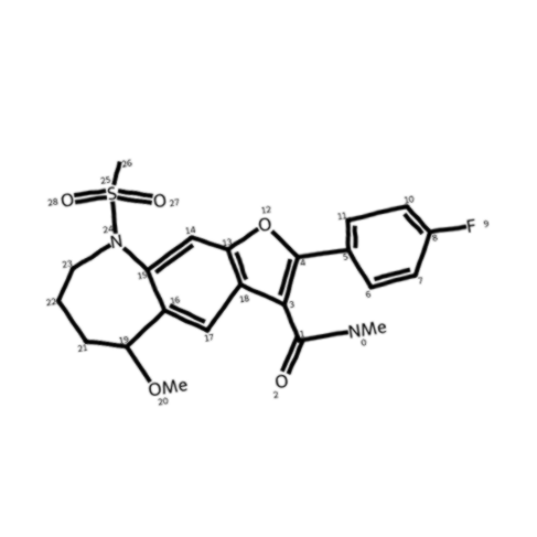 CNC(=O)c1c(-c2ccc(F)cc2)oc2cc3c(cc12)C(OC)CCCN3S(C)(=O)=O